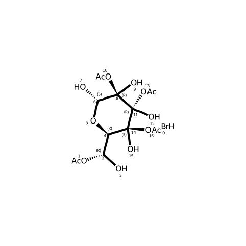 Br.CC(=O)O[C@@H](O)[C@H]1O[C@H](O)[C@@](O)(OC(C)=O)[C@](O)(OC(C)=O)[C@@]1(O)OC(C)=O